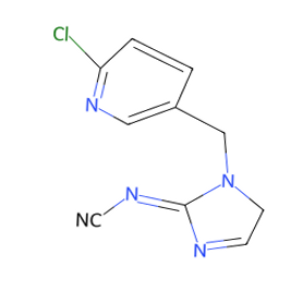 N#CN=C1N=CCN1Cc1ccc(Cl)nc1